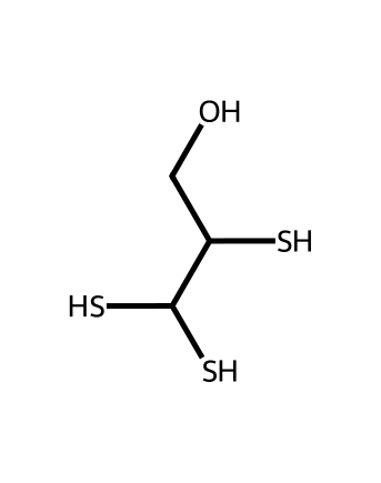 OCC(S)C(S)S